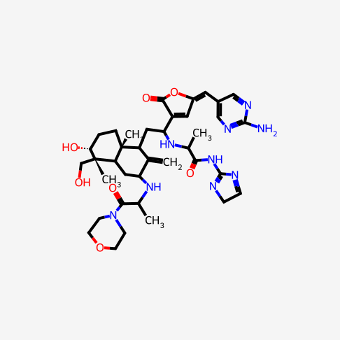 C=C1C(NC(C)C(=O)N2CCOCC2)CC2[C@](C)(CC[C@@H](O)[C@@]2(C)CO)C1CC(NC(C)C(=O)NC1=NCC=N1)C1=C/C(=C\c2cnc(N)nc2)OC1=O